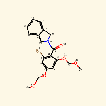 COCOc1cc(Br)c(C(=O)N2Cc3ccccc3C2)c(OCOC)c1